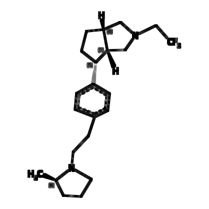 C[C@@H]1CCCN1CCc1ccc([C@@H]2CC[C@@H]3CN(CC(F)(F)F)C[C@@H]32)cc1